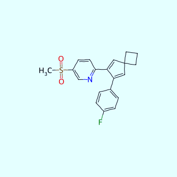 CS(=O)(=O)c1ccc(C2=CC3(C=C2c2ccc(F)cc2)CCC3)nc1